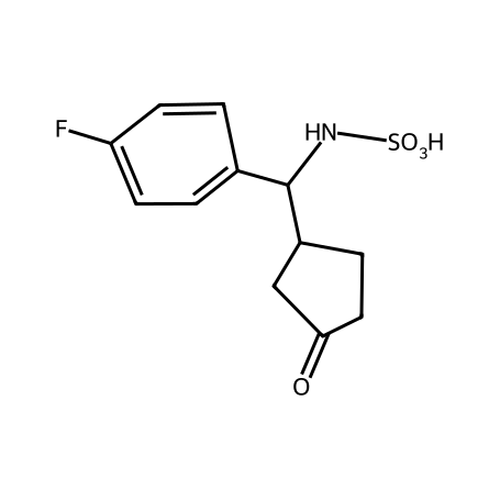 O=C1CCC(C(NS(=O)(=O)O)c2ccc(F)cc2)C1